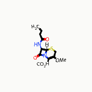 C=CCC(=O)N[C@@H]1C(=O)N2C(C(=O)O)=C(OC)CS[C@H]12